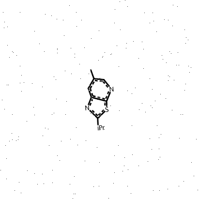 Cc1cnc2sc(C(C)C)nc2c1